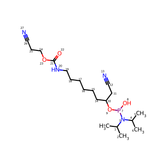 CC(C)N(C(C)C)P(O)OC(CC#N)CCCCCCNC(=O)OCCC#N